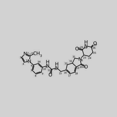 Cc1nccn1-c1cccc(NC(=O)NCC2=CC=C3C(=O)N(C4CCC(=O)NC4=O)CC3C2)c1